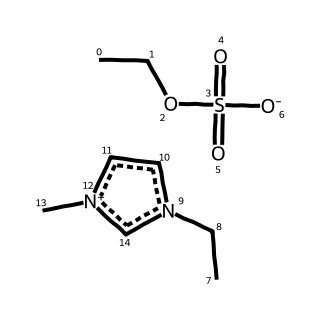 CCOS(=O)(=O)[O-].CCn1cc[n+](C)c1